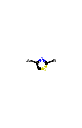 CCc1nc(C(C)(C)C)cs1